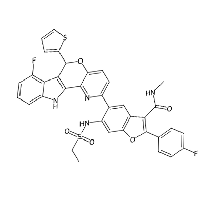 CCS(=O)(=O)Nc1cc2oc(-c3ccc(F)cc3)c(C(=O)NC)c2cc1-c1ccc2c(n1)-c1[nH]c3cccc(F)c3c1C(c1cccs1)O2